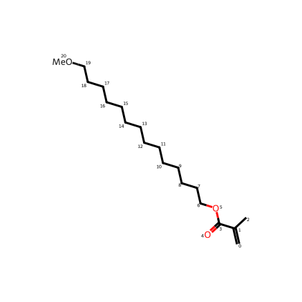 C=C(C)C(=O)OCCCCCCCCCCCCCCOC